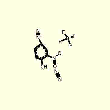 Cc1ccc([N+]#N)cc1[N+](=O)[O-].F[B-](F)(F)F.N#N